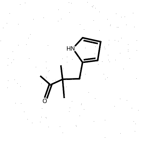 CC(=O)C(C)(C)Cc1ccc[nH]1